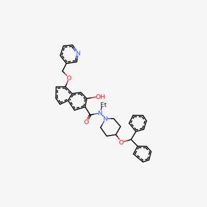 CCN(C(=O)c1cc2cccc(OCc3cccnc3)c2cc1O)N1CCC(OC(c2ccccc2)c2ccccc2)CC1